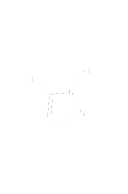 CCc1ccnn1C(F)(F)F